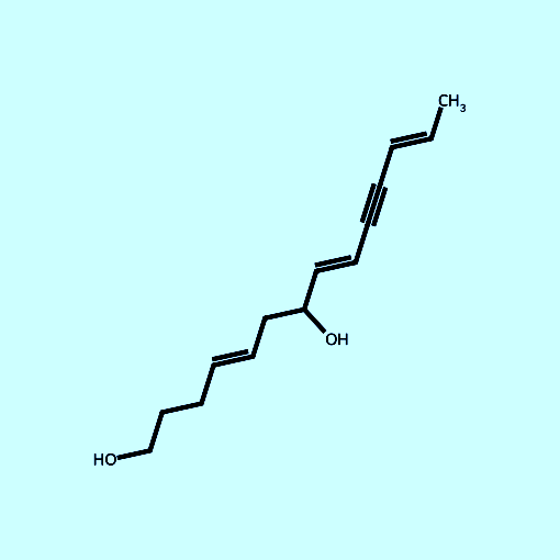 CC=CC#CC=CC(O)CC=CCCCO